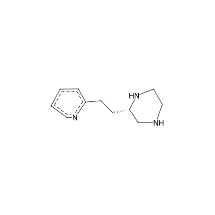 c1ccc(CC[C@H]2CNCCN2)nc1